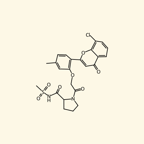 Cc1ccc(-c2cc(=O)c3cccc(Cl)c3o2)c(OCC(=O)N2CCCC2C(=O)NS(C)(=O)=O)c1